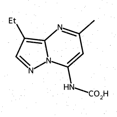 CCc1cnn2c(NC(=O)O)cc(C)nc12